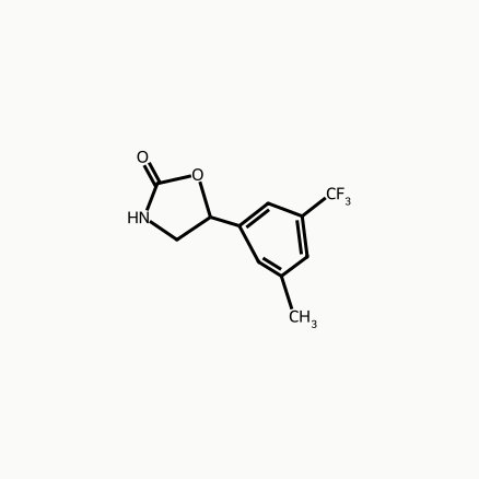 Cc1cc(C2CNC(=O)O2)cc(C(F)(F)F)c1